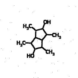 CC1C(O)C(C)C2C(C)C(O)C(C)C12